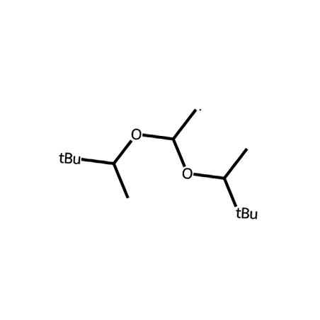 [CH2]C(OC(C)C(C)(C)C)OC(C)C(C)(C)C